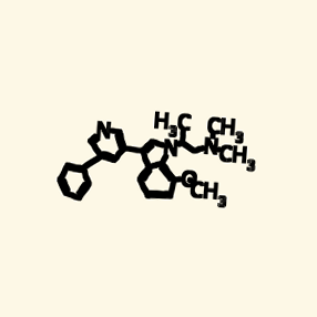 COc1cccc2c(-c3cncc(-c4ccccc4)c3)cn(C(C)CN(C)C)c12